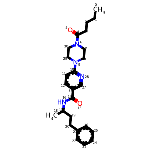 CCCCC(=O)N1CCN(c2ccc(C(=O)NC(C)CCc3ccccc3)cn2)CC1